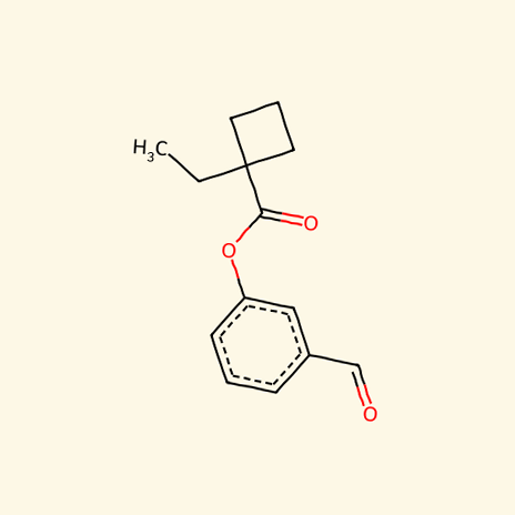 CCC1(C(=O)Oc2cccc(C=O)c2)CCC1